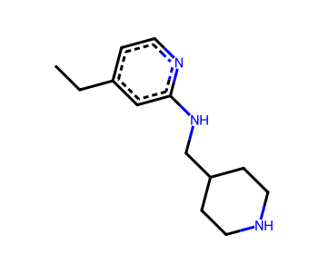 CCc1ccnc(NCC2CCNCC2)c1